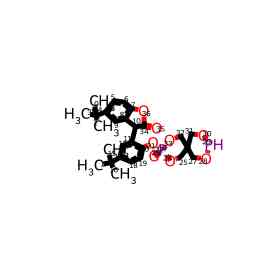 CC(C)(C)c1ccc2c(c1)C(c1cc(C(C)(C)C)ccc1OP1(=O)OCC3(COPOC3)CO1)C(=O)O2